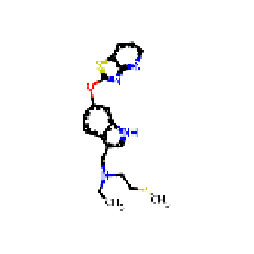 CCN(CCSC)Cc1c[nH]c2cc(Oc3nc4ncccc4s3)ccc12